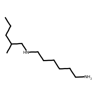 CCCC(C)CNCCCCCCN